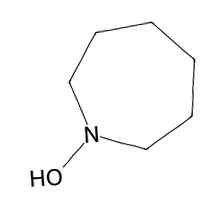 ON1CCCCCC1